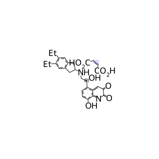 CCc1cc2c(cc1CC)CC(NC[C@H](O)c1ccc(O)c3c1=CC(=O)C(=O)N=3)C2.O=C(O)/C=C\C(=O)O